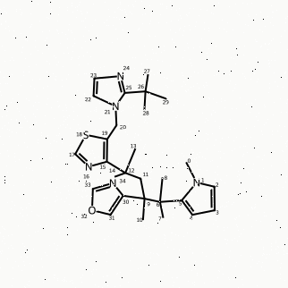 Cn1cccc1C(C)(C)C(C)(CC(C)(C)c1ncsc1Cn1ccnc1C(C)(C)C)c1cocn1